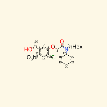 CCCCCCN(C(=O)COc1cc(C(C)O)c([N+](=O)[O-])cc1Cl)C1CCCCC1